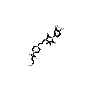 COCCS(=O)(=O)N1CCN(CCCN2C(=S)N(c3ccc(C#N)c(C(F)(F)F)c3)C(=O)C2(C)C)CC1